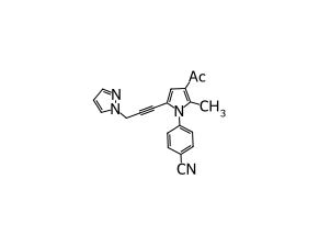 CC(=O)c1cc(C#CCn2cccn2)n(-c2ccc(C#N)cc2)c1C